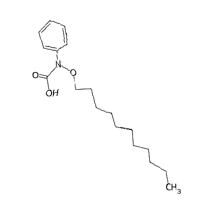 CCCCCCCCCCCON(C(=O)O)c1ccccc1